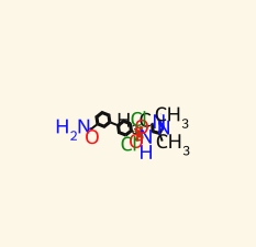 Cc1nn(C)c(C)c1NS(=O)(=O)c1c(Cl)cc(-c2cccc(C(N)=O)c2)cc1Cl